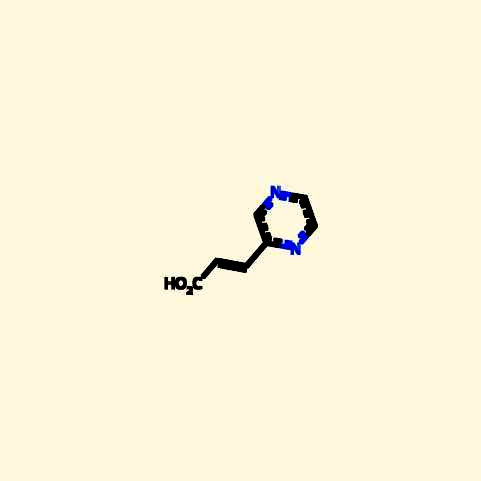 O=C(O)C=Cc1cnccn1